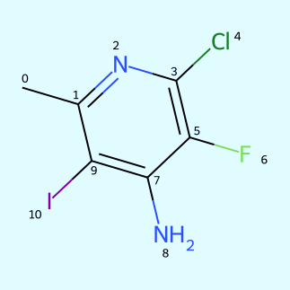 Cc1nc(Cl)c(F)c(N)c1I